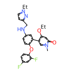 CCOc1cc(=O)n(C)cc1-c1cc(NCc2ccn(CC)n2)ccc1Oc1ccc(F)cc1F